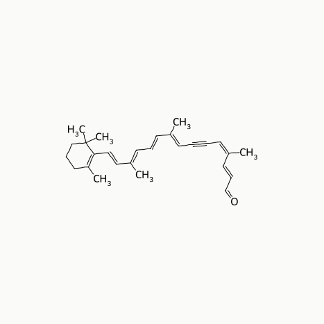 CC(C=CC=O)=CC#CC=C(C)C=CC=C(C)C=CC1=C(C)CCCC1(C)C